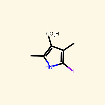 Cc1[nH]c(I)c(C)c1C(=O)O